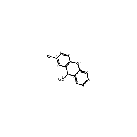 CC(=O)OC1c2ccccc2Oc2ccc(Cl)cc21